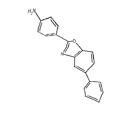 Nc1ccc(-c2nc3cc(-c4ccccc4)ccc3o2)cc1